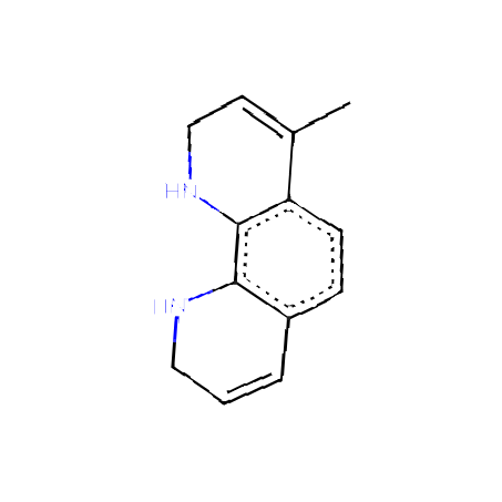 CC1=CCNc2c1ccc1c2NCC=C1